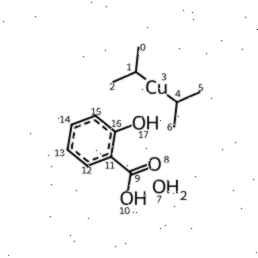 C[CH](C)[Cu][CH](C)C.O.O=C(O)c1ccccc1O